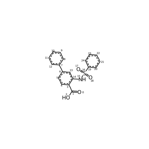 O=C(O)c1ccc(-c2ccccc2)cc1NS(=O)(=O)c1ccccc1